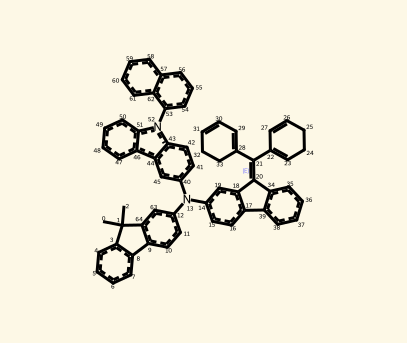 CC1(C)c2ccccc2-c2ccc(N(c3ccc4c(c3)/C(=C(/C3=CCCC=C3)C3=CC=CCC3)c3ccccc3-4)c3ccc4c(c3)c3ccccc3n4-c3cccc4ccccc34)cc21